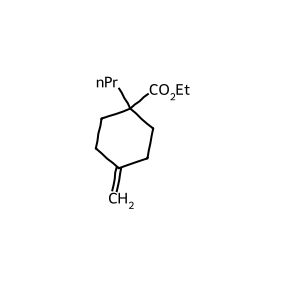 C=C1CCC(CCC)(C(=O)OCC)CC1